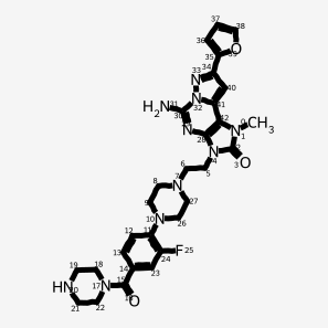 Cn1c(=O)n(CCN2CCN(c3ccc(C(=O)N4CCNCC4)cc3F)CC2)c2nc(N)n3nc(-c4ccco4)cc3c21